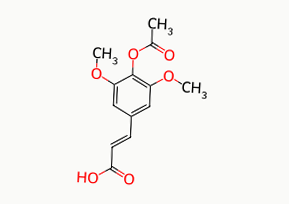 COc1cc(/C=C/C(=O)O)cc(OC)c1OC(C)=O